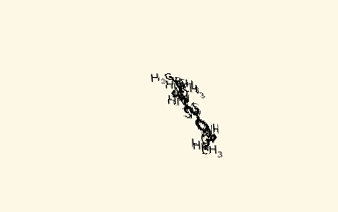 CCCC(=O)NC(C(=O)N1CCCC1c1ncc(-c2csc3c(-c4ccc5nc(C6C=CCN6C(=O)CNC)[nH]c5c4)csc23)[nH]1)C(C)C